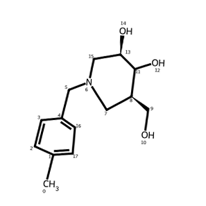 Cc1ccc(CN2C[C@H](CO)C(O)[C@H](O)C2)cc1